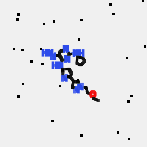 CCOCCn1cc(-c2ccc(Nc3nc(NC4CCCC4)ncc3N=N)cn2)cn1